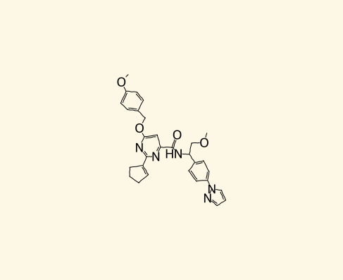 COCC(NC(=O)c1cc(OCc2ccc(OC)cc2)nc(C2=CCCC2)n1)c1ccc(-n2cccn2)cc1